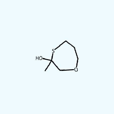 CC1(O)COCCCS1